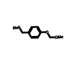 COCOc1ccc(CSC)cc1